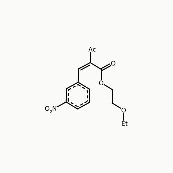 CCOCCOC(=O)C(=Cc1cccc([N+](=O)[O-])c1)C(C)=O